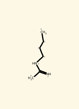 CCCCNC(C)=N